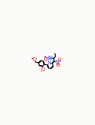 CCC(=N)/C(=C1/C=CC=C(c2c(OC)cc(COC)cc2OC)N1)[N+](=O)[O-]